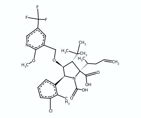 C=CCC(C)[C@@]1(C(=O)O)[C@@H](C(C)(C)C)[C@H](OCc2cc(C(F)(F)F)cnc2OC)[C@H](c2cccc(Cl)c2C)N1C(=O)O